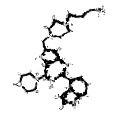 NCCCN1CCN(Cc2cc3nc(-c4cccc5[nH]ccc45)nc(N4CCOCC4)c3s2)CC1